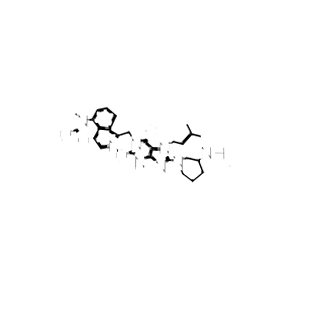 COC(=O)N(C)c1cccc2c(Cn3c(=O)c4c(nc(N5CCCC(N)C5)n4CC=C(C)C)n(C)c3=O)nccc12